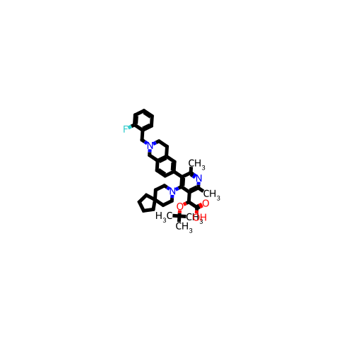 Cc1nc(C)c(C(OC(C)(C)C)C(=O)O)c(N2CCC3(CCCC3)CC2)c1-c1ccc2c(c1)CCN(Cc1ccccc1F)C2